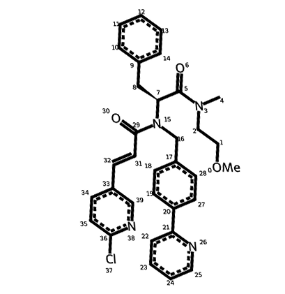 COCCN(C)C(=O)[C@H](Cc1ccccc1)N(Cc1ccc(-c2ccccn2)cc1)C(=O)C=Cc1ccc(Cl)nc1